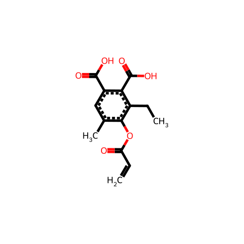 C=CC(=O)Oc1c(C)cc(C(=O)O)c(C(=O)O)c1CC